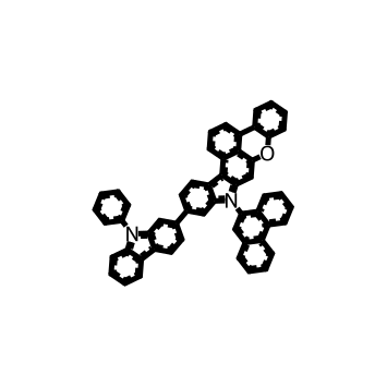 c1ccc(-n2c3ccccc3c3ccc(-c4ccc5c6c7cccc8c7c(cc6n(-c6cc7ccccc7c7ccccc67)c5c4)Oc4ccccc4-8)cc32)cc1